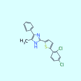 Cc1[nH]c(-c2ccc(-c3ccc(Cl)cc3Cl)s2)nc1-c1ccccc1